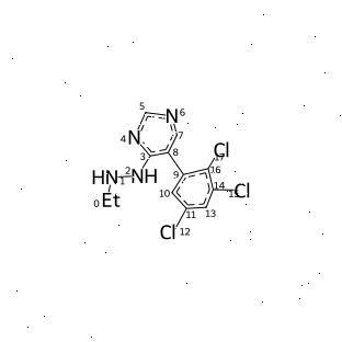 CCNNc1ncncc1-c1cc(Cl)cc(Cl)c1Cl